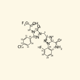 NC(=O)c1nc(Cn2nc(-c3ccc(Cl)cc3)n(CC(O)C(F)(F)F)c2=O)nn1-c1ccccc1F